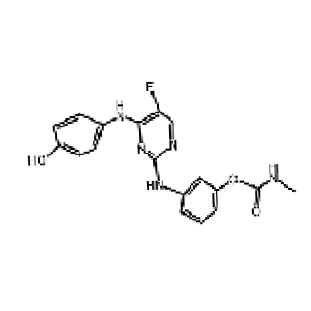 CNC(=O)Oc1cccc(Nc2ncc(F)c(Nc3ccc(O)cc3)n2)c1